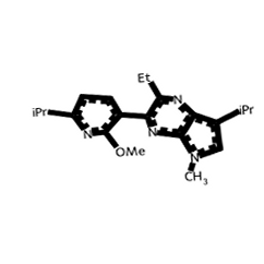 CCc1nc2c(C(C)C)cn(C)c2nc1-c1ccc(C(C)C)nc1OC